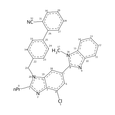 CCCc1nc2c(Cl)cc(-c3nc4ccccc4n3C)cc2n1Cc1ccc(-c2ccccc2C#N)cc1